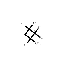 CC1(F)CC(F)(F)C1(F)F